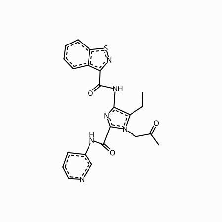 CCc1c(NC(=O)c2nsc3ccccc23)nc(C(=O)Nc2cccnc2)n1CC(C)=O